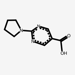 O=C(O)c1cnc(N2CCCC2)nc1